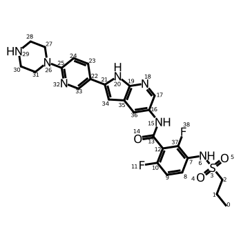 CCCS(=O)(=O)Nc1ccc(F)c(C(=O)Nc2cnc3[nH]c(-c4ccc(N5CCNCC5)nc4)cc3c2)c1F